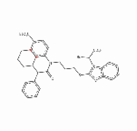 CCOC(=O)c1ccc(N(CCCSc2nc3ccccc3n2C(C(=O)O)C(C)(C)C)C(=O)C(c2ccccc2)C2CCCCC2)cc1